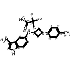 Nc1c[nH]c2ccc(O[C@H]3C[C@@H](c4ccc(C(F)(F)F)cc4)C3)cc12.O=C(O)C(F)(F)F